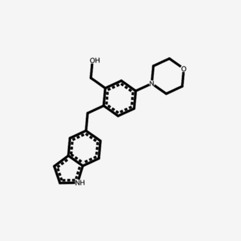 OCc1cc(N2CCOCC2)ccc1Cc1ccc2[nH]ccc2c1